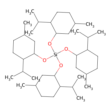 CC1CCC(C(C)C)C(O[Si](OC2CC(C)CCC2C(C)C)(OC2CC(C)CCC2C(C)C)OC2CC(C)CCC2C(C)C)C1